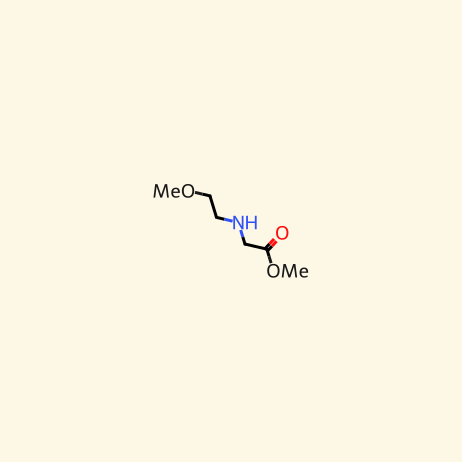 COCCNCC(=O)OC